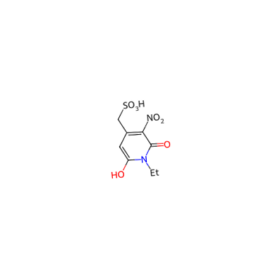 CCn1c(O)cc(CS(=O)(=O)O)c([N+](=O)[O-])c1=O